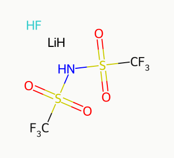 F.O=S(=O)(NS(=O)(=O)C(F)(F)F)C(F)(F)F.[LiH]